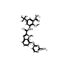 COc1c(NC(=O)c2cc3cccc(Oc4ccnc(N)n4)c3n2C)cc(C(C)(C)C)cc1C(N)=O